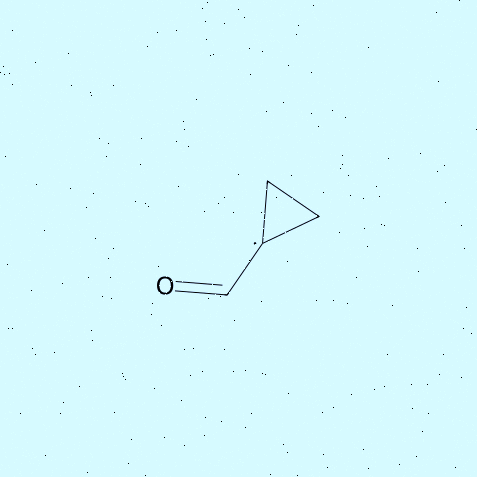 O=C[C]1CC1